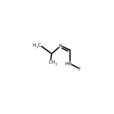 CC(C)/N=C\NF